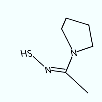 C/C(=N/S)N1CCCC1